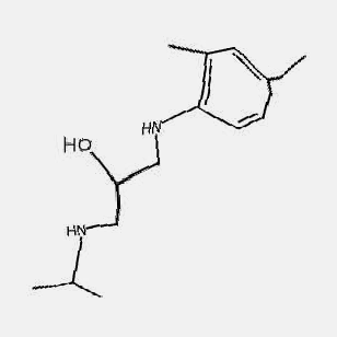 Cc1ccc(NCC(O)CNC(C)C)c(C)c1